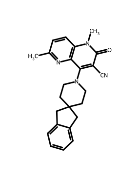 Cc1ccc2c(n1)c(N1CCC3(CC1)Cc1ccccc1C3)c(C#N)c(=O)n2C